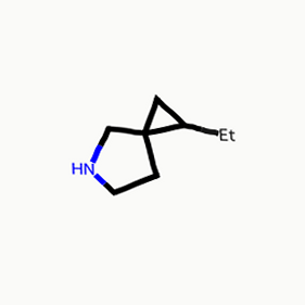 CCC1CC12CCNC2